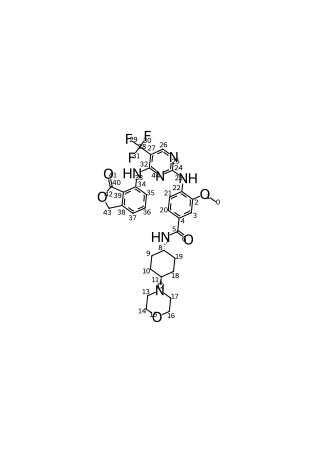 COc1cc(C(=O)N[C@H]2CC[C@H](N3CCOCC3)CC2)ccc1Nc1ncc(C(F)(F)F)c(Nc2cccc3c2C(=O)OC3)n1